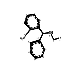 Nc1ccccc1C(NCCl)c1ccccc1